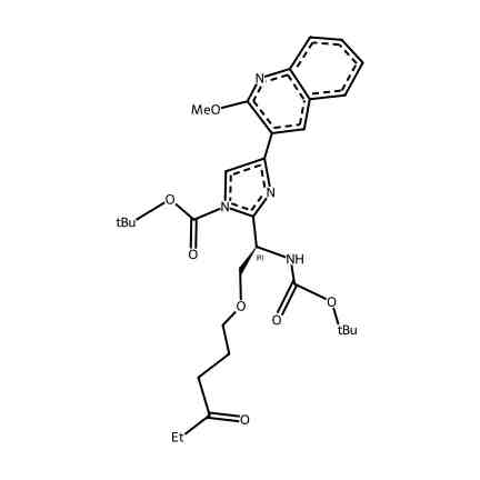 CCC(=O)CCCOC[C@H](NC(=O)OC(C)(C)C)c1nc(-c2cc3ccccc3nc2OC)cn1C(=O)OC(C)(C)C